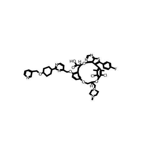 Cc1c(Cl)c2c(Cl)c(C)c1-c1c(-c3ccc(F)cc3)sc3ncnc(c13)O[C@@H](C(=O)O)Cc1cc(ccc1OCc1ccnc(C3CCC(OCc4cccnc4)CC3)n1)OC[C@@H](CN1CCN(C)CC1)O2